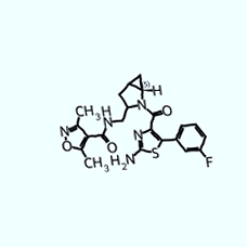 Cc1noc(C)c1C(=O)NCC1CC2C[C@@H]2N1C(=O)c1nc(N)sc1-c1cccc(F)c1